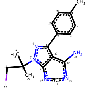 Cc1ccc(-c2nn(C(C)(C)CI)c3ncnc(N)c23)cc1